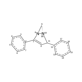 C1=C(c2ccccc2)N2C[N@]2C1c1ccccc1